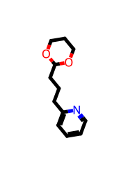 c1ccc(CCCC2OCCCO2)nc1